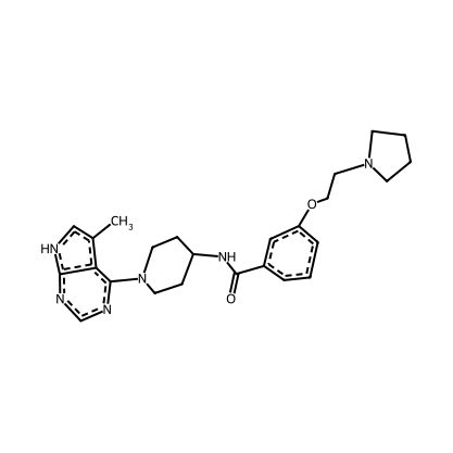 Cc1c[nH]c2ncnc(N3CCC(NC(=O)c4cccc(OCCN5CCCC5)c4)CC3)c12